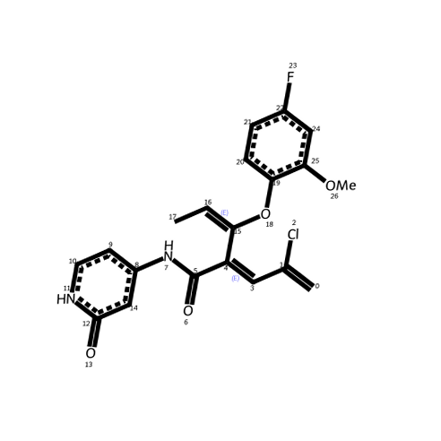 C=C(Cl)/C=C(C(=O)Nc1cc[nH]c(=O)c1)\C(=C/C)Oc1ccc(F)cc1OC